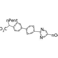 CCCCCCCCc1cnc(-c2ccc(-c3ccc(C(CCCCC)C(=O)O)cc3)cc2)nc1